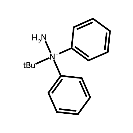 CC(C)(C)[N+](N)(c1ccccc1)c1ccccc1